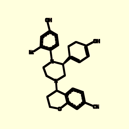 CCc1cc(O)ccc1N1CCN(C2CCOc3cc(C#N)ccc32)C[C@@H]1C1=CC=C(O)CC1